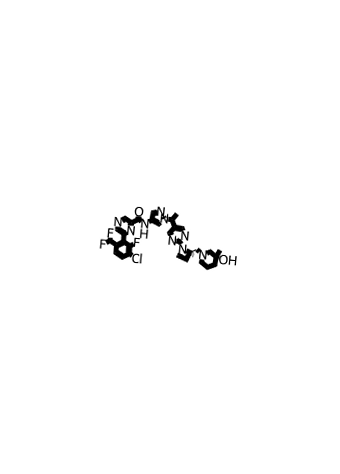 CC(c1cnc(N2CC[C@H]2CN2CCCC(C)(O)C2)nc1)n1cc(NC(=O)c2cncc(-c3c(C(F)F)ccc(Cl)c3F)n2)cn1